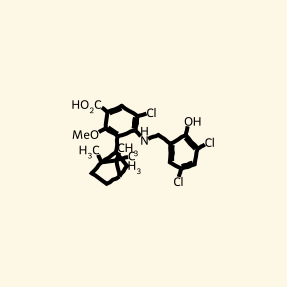 COc1c(C(=O)O)cc(Cl)c(NCc2cc(Cl)cc(Cl)c2O)c1C1CC2CCC1(C)C2(C)C